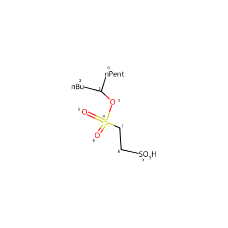 CCCCCC(CCCC)OS(=O)(=O)CCS(=O)(=O)O